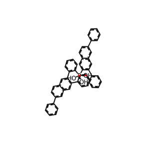 OP(O)(O)(c1cc2ccc(-c3ccccc3)cc2cc1-c1ccccc1)c1ccccc1-c1cc2ccc(-c3ccccc3)cc2cc1-c1ccccc1